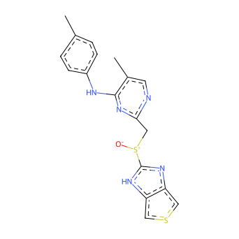 Cc1ccc(Nc2nc(C[S+]([O-])c3nc4cscc4[nH]3)ncc2C)cc1